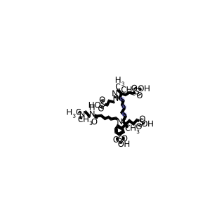 CC1=NN(CCCS(=O)(=O)O)\C(=C/C=C/C=C/C2=[N+](CCCCCC(=O)NCCN(C)C)c3ccc(S(=O)(=O)O)cc3C2(C)CCCS(=O)(=O)O)C1(C)CCCS(=O)(=O)O